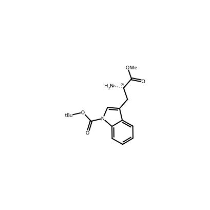 COC(=O)[C@@H](N)Cc1cn(C(=O)OC(C)(C)C)c2ccccc12